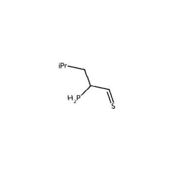 CC(C)CC(P)C=S